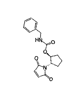 O=C(NCc1ccccc1)O[C@H]1CCC[C@@H]1N1C(=O)C=CC1=O